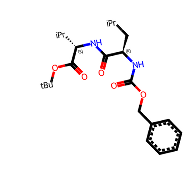 CC(C)C[C@@H](NC(=O)OCc1ccccc1)C(=O)N[C@H](C(=O)OC(C)(C)C)C(C)C